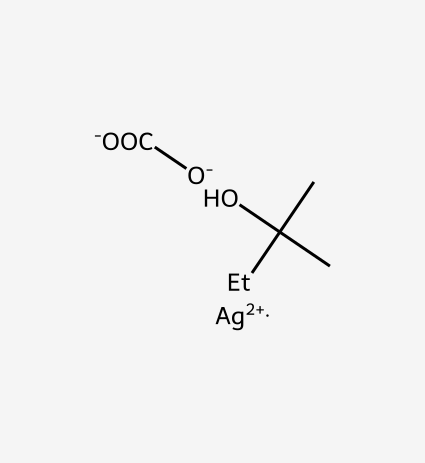 CCC(C)(C)O.O=C([O-])[O-].[Ag+2]